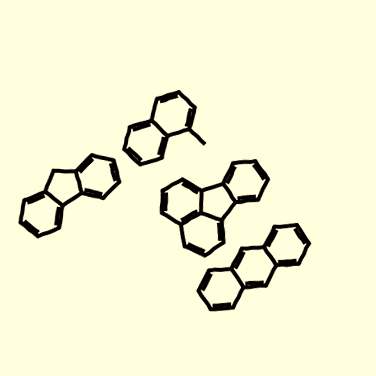 Cc1cccc2ccccc12.c1ccc2c(c1)-c1cccc3cccc-2c13.c1ccc2c(c1)Cc1ccccc1-2.c1ccc2cc3ccccc3cc2c1